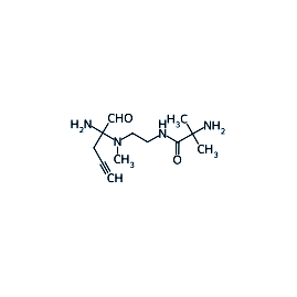 C#CCC(N)(C=O)N(C)CCNC(=O)C(C)(C)N